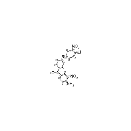 Nc1ccc([S+]([O-])c2ccc(Sc3ccc(Cl)c([N+](=O)[O-])c3)cc2)cc1[N+](=O)[O-]